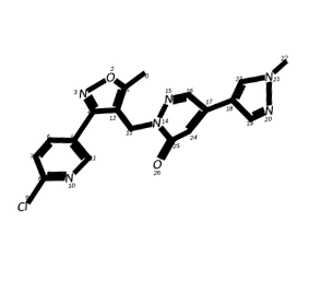 Cc1onc(-c2ccc(Cl)nc2)c1Cn1ncc(-c2cnn(C)c2)cc1=O